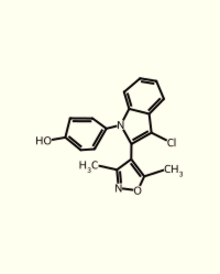 Cc1noc(C)c1-c1c(Cl)c2ccccc2n1-c1ccc(O)cc1